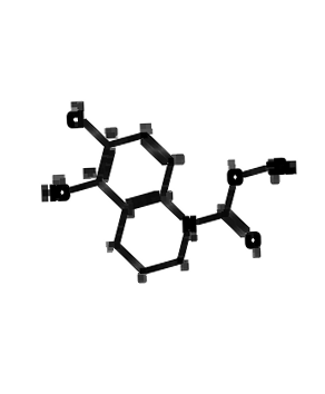 CC(C)(C)OC(=O)N1CCCc2c1ccc(Cl)c2O